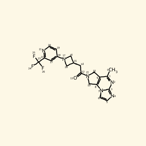 Cc1nc2nccn2c2c1CN(C(=O)CC1CN(c3ccnc(C(F)(F)F)c3)C1)C2